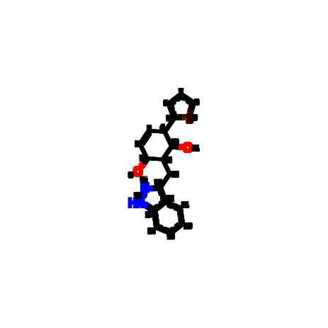 O=C1C=CC(c2cccs2)C(=O)C1Cc1n[nH]c2ccccc12